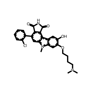 CN(C)CCCCOc1cc2c(cc1O)c1c3c(c(-c4ccccc4Cl)cc1n2C)C(=O)NC3=O